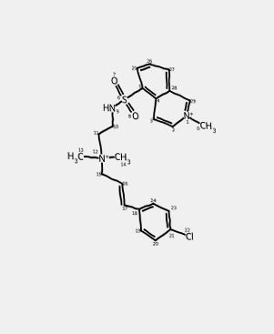 C[n+]1ccc2c(S(=O)(=O)NCC[N+](C)(C)CC=Cc3ccc(Cl)cc3)cccc2c1